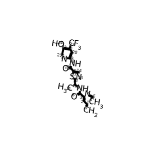 C=C/C=C(\N=C/C)C(=O)N[C@H](C)c1ncc(C(=O)Nc2cc(C(F)(F)F)c(O)cn2)s1